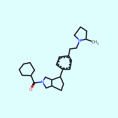 CC1CCCN1CCc1ccc(C2CCC3CN(C(=O)C4CCCCC4)CC32)cc1